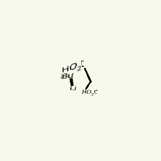 O=C(O)CC(=O)O.[Li][CH](C)CC